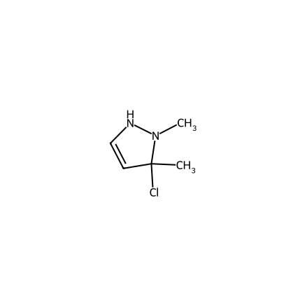 CN1NC=CC1(C)Cl